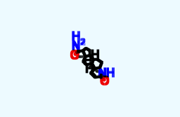 C[C@]12C=CC(=O)NC1CC[C@@H]1[C@H]2CC[C@]2(C)C(C(N)=O)CC[C@@H]12